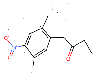 CCC(=O)Cc1cc(C)c([N+](=O)[O-])cc1C